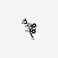 CNCC(CC(C)C)NC(=O)N1CCCC(C(O)(CCCCOC)c2cccc(C)c2Oc2ccccc2C)C1